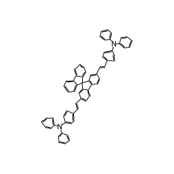 C(=Cc1ccc2c(c1)C1(c3ccccc3-c3ccccc31)c1cc(C=Cc3ccc(N(c4ccccc4)c4ccccc4)cc3)ccc1-2)c1ccc(N(c2ccccc2)c2ccccc2)cc1